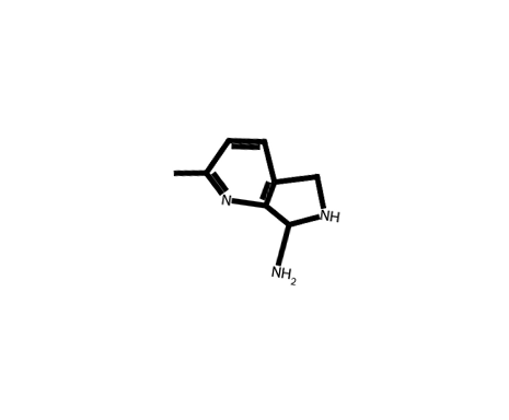 Cc1ccc2c(n1)C(N)NC2